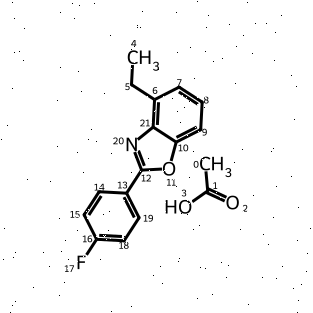 CC(=O)O.CCc1cccc2oc(-c3ccc(F)cc3)nc12